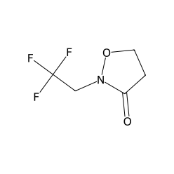 O=C1CCON1CC(F)(F)F